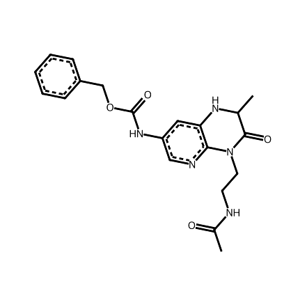 CC(=O)NCCN1C(=O)C(C)Nc2cc(NC(=O)OCc3ccccc3)cnc21